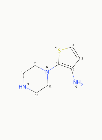 Nc1ccsc1N1CCNCC1